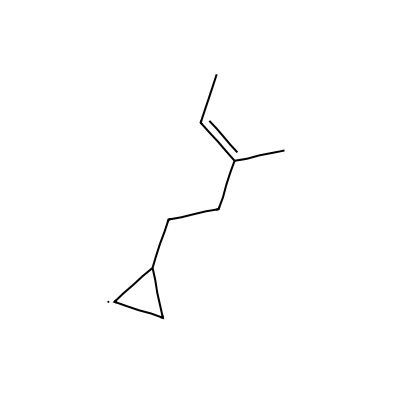 CC=C(C)CCC1[CH]C1